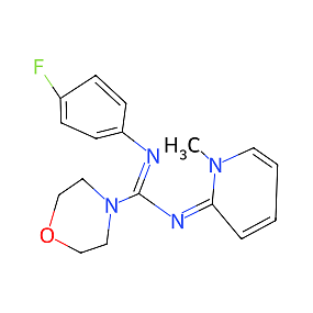 Cn1ccccc1=NC(=Nc1ccc(F)cc1)N1CCOCC1